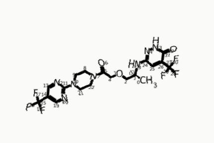 C[C@@H](COCC(=O)N1CCN(c2ncc(C(F)(F)F)cn2)CC1)Nc1cc(C(F)(F)F)c(=O)[nH]n1